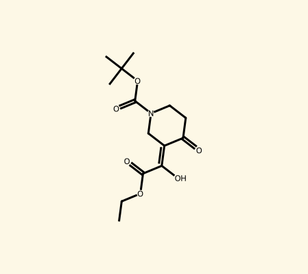 CCOC(=O)/C(O)=C1\CN(C(=O)OC(C)(C)C)CCC1=O